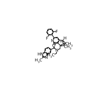 CCN(C[C@@]12CC[C@@H](c3cc(-c4c(F)cccc4F)nnc31)C2(C)C)C(=O)c1ccc2[nH]c(C)nc2c1